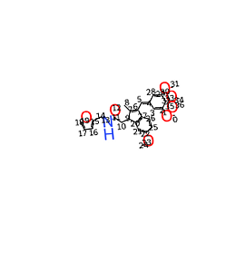 COC1=CC(=CC2=C(C)C(CC(=O)NCc3ccco3)c3cc(OC)ccc32)C=C(OC)C1(OC)OC